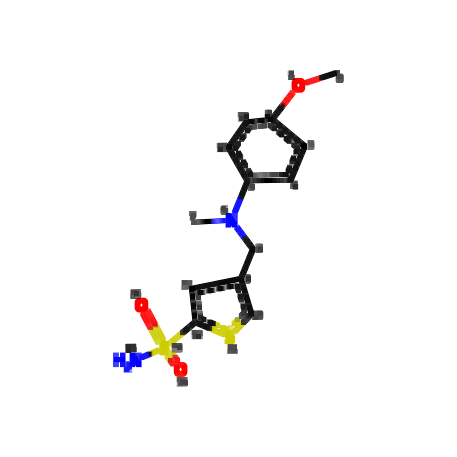 COc1ccc(N(C)Cc2csc(S(N)(=O)=O)c2)cc1